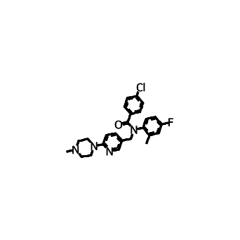 Cc1cc(F)ccc1N(Cc1ccc(N2CCN(C)CC2)nc1)C(=O)c1ccc(Cl)cc1